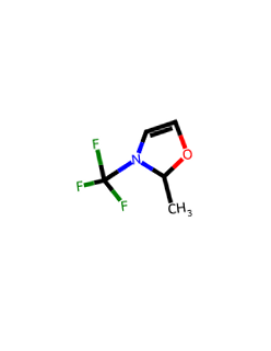 CC1OC=CN1C(F)(F)F